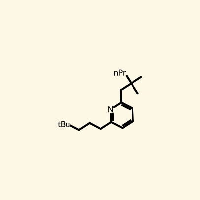 CCCC(C)(C)Cc1cccc(CCCC(C)(C)C)n1